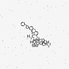 CC1C(CCC2(NC(O)OC(C)(C)C)COC(C)(C)OC2)=CC=C2Cc3ccc(OCc4ccccc4)cc3SC21